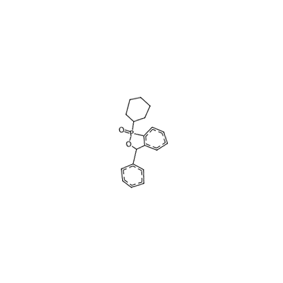 O=P1(C2CCCCC2)OC(c2ccccc2)c2ccccc21